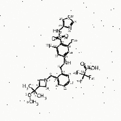 COC(C)(C)C1CN(Cc2ccccc2CNc2cc(F)c(S(=O)(=O)Nc3cscn3)c(F)c2)C1.O=C(O)C(F)(F)F